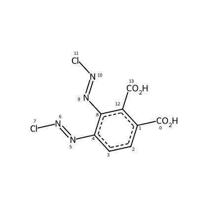 O=C(O)c1ccc(N=NCl)c(N=NCl)c1C(=O)O